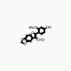 COc1cc(O)ccc1-c1oc2cc3c(cc2c1C=O)OCO3